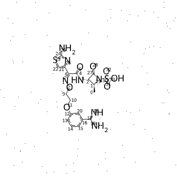 C[C@H]1[C@H](NC(=O)C(=NOCCOc2cccc(C(=N)N)c2)c2csc(N)n2)C(=O)N1S(=O)(=O)O